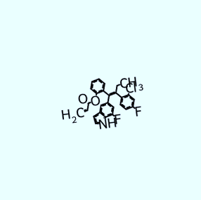 C=CC(=O)Oc1ccccc1/C(=C(\CC)c1ccc(F)cc1Cl)c1cc(F)c2[nH]ccc2c1